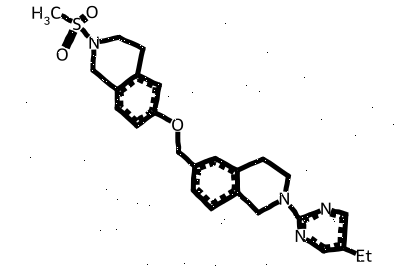 CCc1cnc(N2CCc3cc(COc4ccc5c(c4)CCN(S(C)(=O)=O)C5)ccc3C2)nc1